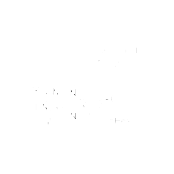 CCCCCCc1cc2nc3c(=O)[nH]c(=O)nc-3n(CCCc3ccc(C)cc3)c2cc1C